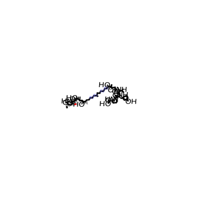 CC[C@H]1C[C@H](C)[C@@](O)([C@@H](C)[C@@H](O)[C@@H](C)CC[C@H](O)[C@@H](C)CC/C=C/C=C(\C)CC/C=C/C=C/[C@@H](O)C(C)[C@@H](O)CC(=O)NC(C(=O)N[C@@H](Cc2cccc(O)c2)C(=O)N2CCC[C@@H](C(=O)O)N2)C(C)C)NC1=O